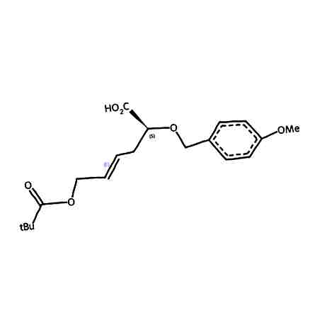 COc1ccc(CO[C@@H](C/C=C/COC(=O)C(C)(C)C)C(=O)O)cc1